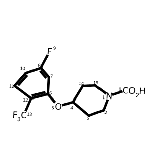 O=C(O)N1CCC(Oc2cc(F)ccc2C(F)(F)F)CC1